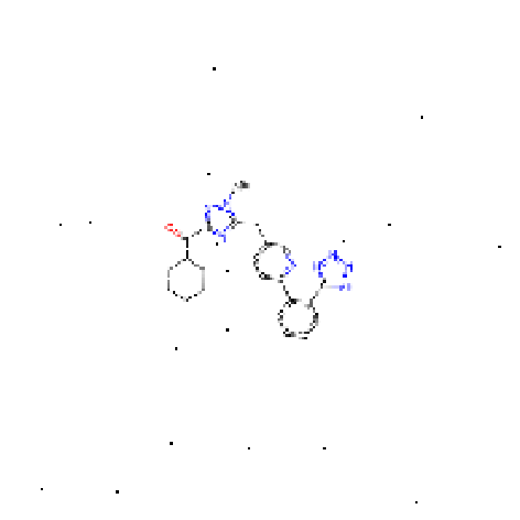 CCCCn1nc(C(=O)C2CCCCC2)nc1Cc1ccc(-c2ccccc2-c2nnn[nH]2)nc1